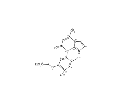 CCOC(=O)COc1cc(-n2c(=O)cc(C(F)(F)F)n3ccnc23)c(F)cc1Cl